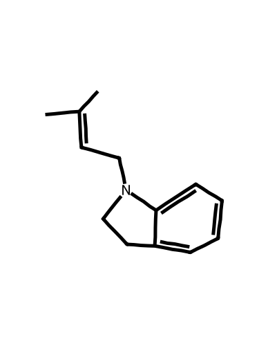 CC(C)=CCN1CCc2ccccc21